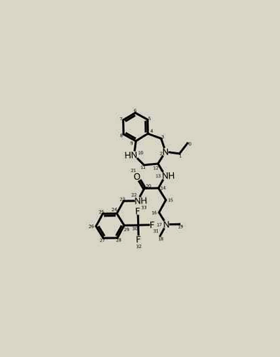 CCN1Cc2ccccc2NCC1NC(CCN(C)C)C(=O)NCc1ccccc1C(F)(F)F